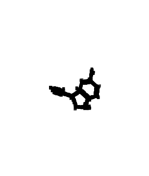 N#CC1CNc2ccc(Br)cc21